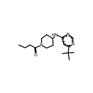 CCCC(=O)N1CCC(Nc2cc(C(C)(C)C)ncn2)CC1